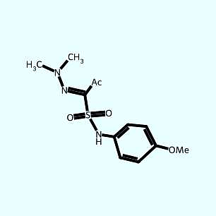 COc1ccc(NS(=O)(=O)C(=NN(C)C)C(C)=O)cc1